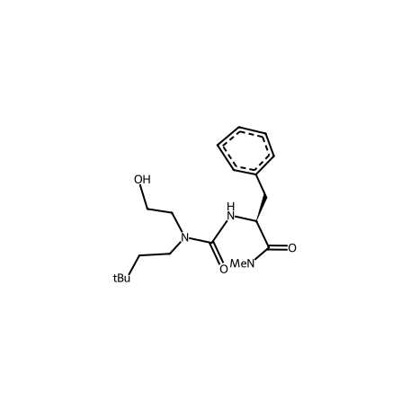 CNC(=O)[C@H](Cc1ccccc1)NC(=O)N(CCO)CCC(C)(C)C